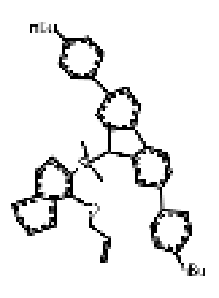 C=CCOc1c([Si](C)(C)C2c3cc(-c4ccc(CCCC)cc4)ccc3-c3ccc(-c4ccc(CCCC)cc4)cc32)ccc2ccccc12